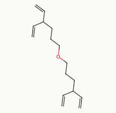 C=CC(C=C)CCCOCCCC(C=C)C=C